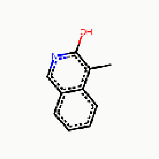 Cc1c(O)ncc2ccccc12